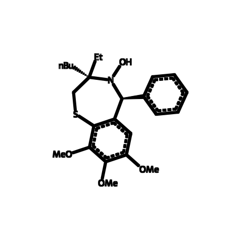 CCCC[C@@]1(CC)CSc2c(cc(OC)c(OC)c2OC)[C@H](c2ccccc2)N1O